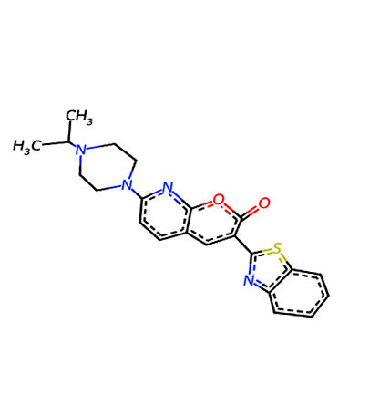 CC(C)N1CCN(c2ccc3cc(-c4nc5ccccc5s4)c(=O)oc3n2)CC1